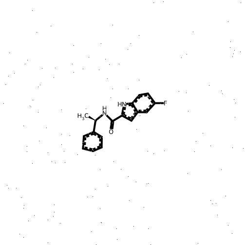 C[C@@H](NC(=O)c1cc2cc(F)ccc2[nH]1)c1ccccc1